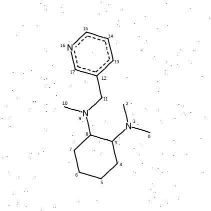 CN(C)C1CCCCC1N(C)Cc1cccnc1